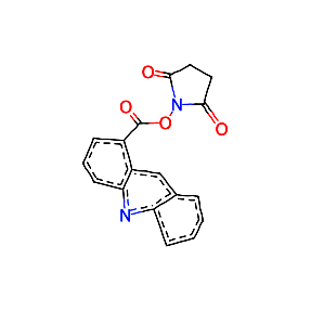 O=C(ON1C(=O)CCC1=O)c1cccc2nc3ccccc3cc12